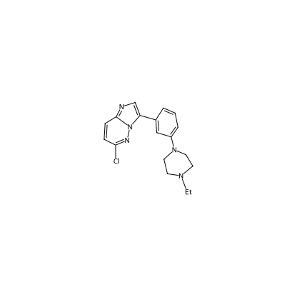 CCN1CCN(c2cccc(-c3cnc4ccc(Cl)nn34)c2)CC1